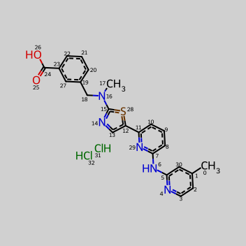 Cc1ccnc(Nc2cccc(-c3cnc(N(C)Cc4cccc(C(=O)O)c4)s3)n2)c1.Cl.Cl